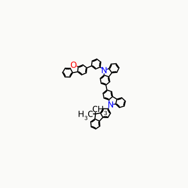 CC1(C)c2ccccc2-c2ccc(-n3c4ccccc4c4cc(-c5ccc6c(c5)c5ccccc5n6-c5cccc(-c6ccc7c(c6)oc6ccccc67)c5)ccc43)cc21